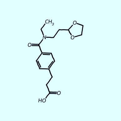 CCN(CCC1OCCO1)C(=O)c1ccc(CCC(=O)O)cc1